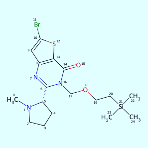 CN1CCC[C@H]1c1nc2cc(Br)sc2c(=O)n1COCC[Si](C)(C)C